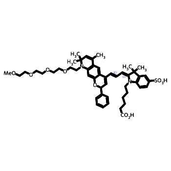 COCCOCCOCCOCCN1c2cc3c(cc2C(C)=CC1(C)C)C(/C=C/C=C1\N(CCCCCC(=O)O)c2ccc(S(=O)(=O)O)cc2C1(C)C)=CC(c1ccccc1)O3